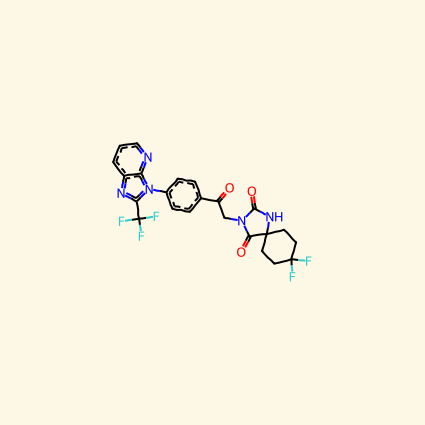 O=C(CN1C(=O)NC2(CCC(F)(F)CC2)C1=O)c1ccc(-n2c(C(F)(F)F)nc3cccnc32)cc1